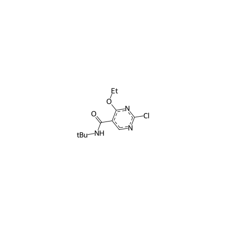 CCOc1nc(Cl)ncc1C(=O)NC(C)(C)C